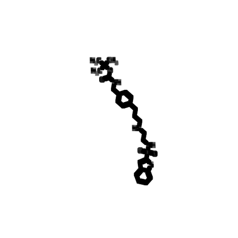 CC(C)(C)OC(=O)NCc1ccc(CCCNCCNS(=O)(=O)c2cc3ccccc3s2)cc1